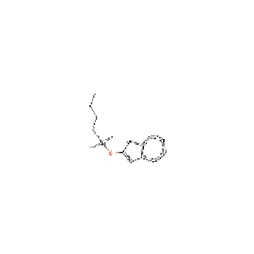 CCCC[Si](C)(C)OC1=Cc2ccccc2[CH]1